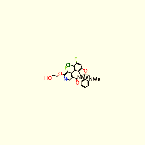 CNC[C@@]1(c2ccccc2)Cc2c(cc(F)c(Cl)c2-c2c(C(=O)NC)cnc(OCCO)c2F)O1